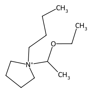 CCCC[N+]1(C(C)OCC)CCCC1